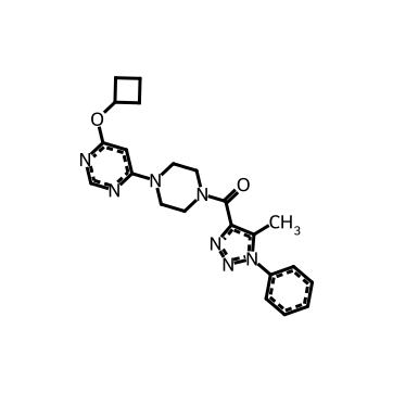 Cc1c(C(=O)N2CCN(c3cc(OC4CCC4)ncn3)CC2)nnn1-c1ccccc1